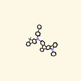 CC1(C)c2ccccc2-c2ccc(N(c3ccc(-c4ccccc4)cc3)c3ccc4c(c3)c3ccccc3c3cc5c(cc43)c3ccccc3n5-c3ccccc3)cc21